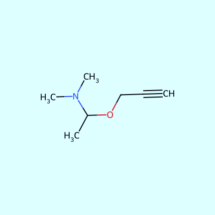 C#CCOC(C)N(C)C